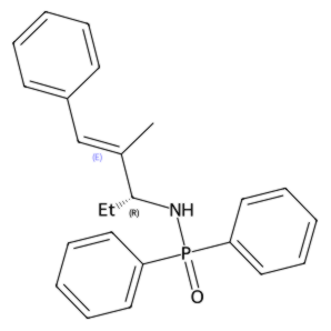 CC[C@@H](NP(=O)(c1ccccc1)c1ccccc1)/C(C)=C/c1ccccc1